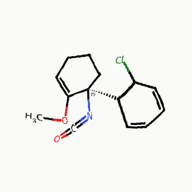 COC1=CCCC[C@]1(N=C=O)C1C=CC=CC1Cl